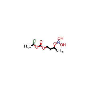 CC(Cl)OC(=O)OCCC(C)ON(O)O